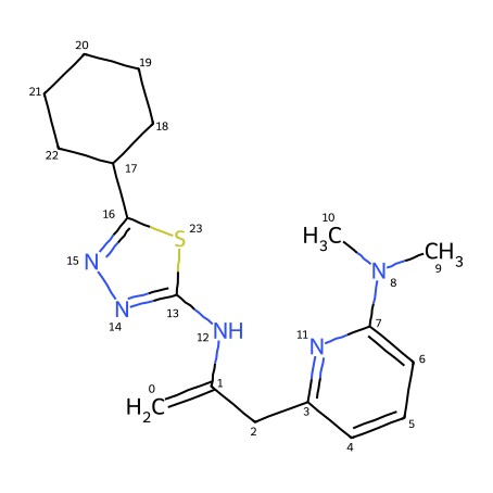 C=C(Cc1cccc(N(C)C)n1)Nc1nnc(C2CCCCC2)s1